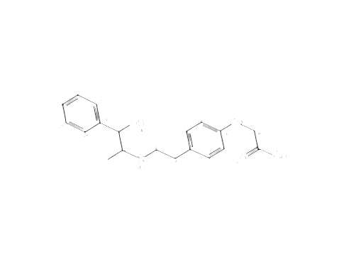 CC(NCCc1ccc(O[C@H](C)C(=O)O)cc1)C(O)c1ccccc1